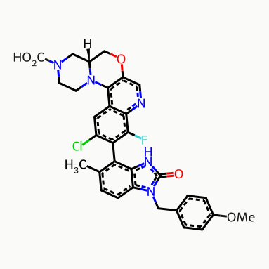 COc1ccc(Cn2c(=O)[nH]c3c(-c4c(Cl)cc5c6c(cnc5c4F)OC[C@H]4CN(C(=O)O)CCN64)c(C)ccc32)cc1